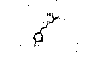 C=C(O)COCCc1ccc(F)cc1